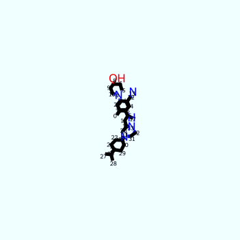 Cc1cc(N2CCC(O)CC2)c(C#N)cc1C(C)CC1CN(C2CCC(C(C)C)CC2)CCN1